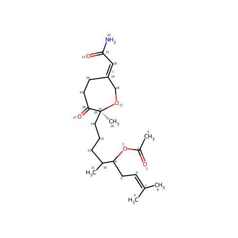 CC(=O)OC(CC=C(C)C)C(C)CCC[C@]1(C)OC/C(=C/C(N)=O)CCC1=O